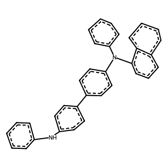 c1ccc(Nc2ccc(-c3ccc(N(c4ccccc4)c4cccc5ccccc45)cc3)cc2)cc1